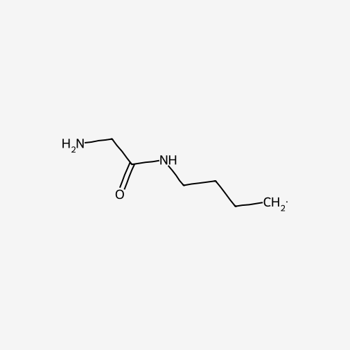 [CH2]CCCNC(=O)CN